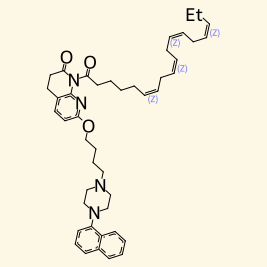 CC/C=C\C/C=C\C/C=C\C/C=C\CCCCC(=O)N1C(=O)CCc2ccc(OCCCCN3CCN(c4cccc5ccccc45)CC3)nc21